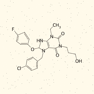 CCn1c2c(c(=O)n(CCCO)c1=O)N(Cc1ccc(Cl)cc1)C(Oc1ccc(F)cc1)N2